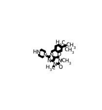 Cn1c(=O)c2c(nc(N3CCNCC3)n2Cc2ccc(C(C)(C)C)cc2)n(C)c1=O